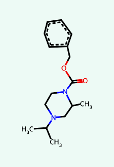 CC(C)N1CCN(C(=O)OCc2ccccc2)C(C)C1